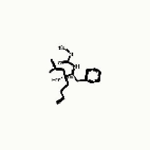 C=CCC[C@@](O)(C=C(C)C)[C@H](Cc1ccccc1)NC(=O)OC(C)(C)C